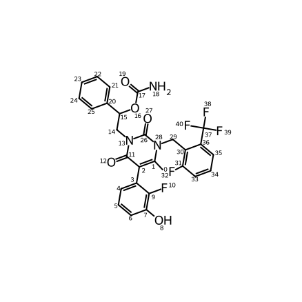 Cc1c(-c2cccc(O)c2F)c(=O)n(CC(OC(N)=O)c2ccccc2)c(=O)n1Cc1c(F)cccc1C(F)(F)F